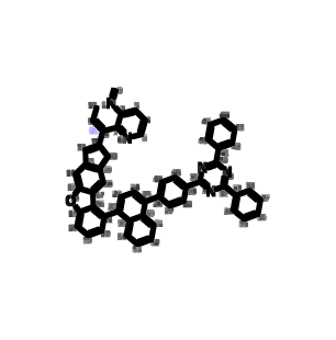 C=Nc1cccnc1/C(=C\C)C1=Cc2cc3oc4cccc(-c5ccc(-c6ccc(-c7nc(-c8ccccc8)nc(-c8ccccc8)n7)cc6)c6ccccc56)c4c3cc2C1